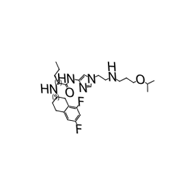 CCC[C@H](N[C@H]1CCc2cc(F)cc(F)c2C1)C(=O)Nc1cn(CCNCCCOC(C)C)cn1